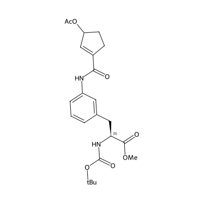 COC(=O)[C@H](Cc1cccc(NC(=O)C2=CC(OC(C)=O)CC2)c1)NC(=O)OC(C)(C)C